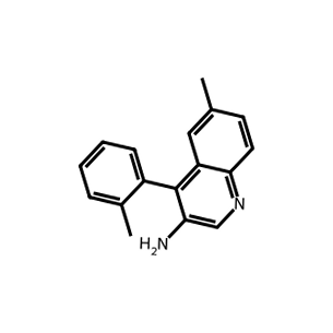 Cc1ccc2ncc(N)c(-c3ccccc3C)c2c1